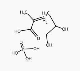 C=C(C)C(=O)O.CC(O)CO.O=P(O)(O)O